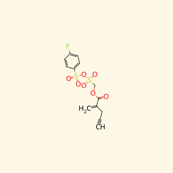 C#CCC(=C)C(=O)OCS(=O)(=O)OS(=O)(=O)c1ccc(F)cc1